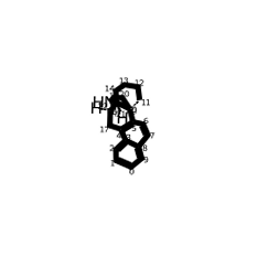 c1ccc2c3c(ccc2c1)[C@@]12CCCC[C@H]1[C@@H](C3)NCC2